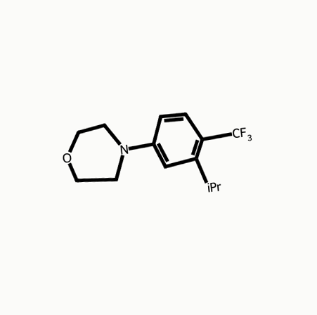 CC(C)c1cc(N2CCOCC2)ccc1C(F)(F)F